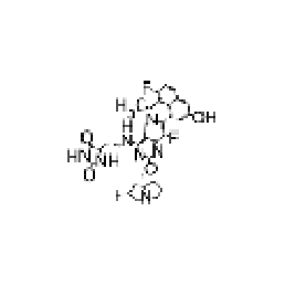 CCc1c(F)ccc2cc(O)cc(-c3ncc4c(NCCC5NC(=O)NC5=O)nc(OC[C@@]56CCCN5C[C@H](F)C6)nc4c3F)c12